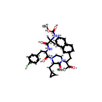 COC(=O)C(Cc1ccc2ccccc2c1)N1CCN(C(=O)C(Cc2ccc(F)cc2)NC(=O)C(C)(C)NC(=O)OC(C)(C)C)C(CC2CC2)C1=O